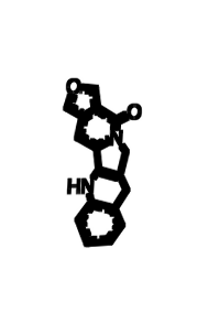 O=c1c2cocc2cc2n1CC1=C2Nc2ccccc2C1